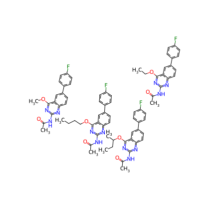 CCC(C)Oc1nc(NC(C)=O)nc2ccc(-c3ccc(F)cc3)cc12.CCCCOc1nc(NC(C)=O)nc2ccc(-c3ccc(F)cc3)cc12.CCOc1nc(NC(C)=O)nc2ccc(-c3ccc(F)cc3)cc12.COc1nc(NC(C)=O)nc2ccc(-c3ccc(F)cc3)cc12